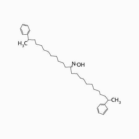 CC(CCCCCCCCCCC(CCCCCCCCCCC(C)c1ccccc1)=NO)c1ccccc1